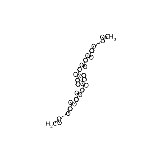 C=CC(=O)OCCCCOc1ccc(C(=O)Oc2ccc(C(=O)Oc3ccc(C(=O)Oc4ccc5ccccc5c4-c4c(OC(=O)c5ccc(OC(=O)c6ccc(OC(=O)c7ccc(OCCCCOC(=O)C=C)cc7)cc6)cc5)ccc5ccccc45)cc3)cc2)cc1